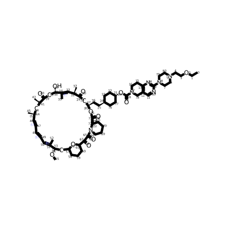 CCOCCN1CCN(c2ncc3c(n2)CCN(C(=O)O[C@H]2CC[C@H](CC[C@@H]4CC(=O)[C@H](C)/C=C(\C)[C@@H](O)CC(=O)[C@H](C)C[C@H](C)/C=C/C=C/C=C(\C)[C@@H](OC)CC5CCCC(O5)C(=O)C(=O)N5CCCC[C@H]5C(=O)O4)CC2)C3)CC1